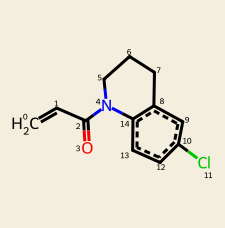 C=CC(=O)N1CCCc2cc(Cl)ccc21